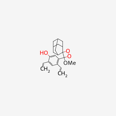 C=Cc1cc(C=C)c(C2(OC)OOC23C2CC4CC(C2)CC3C4)cc1O